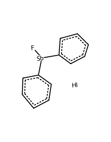 I.[F][Sb]([c]1ccccc1)[c]1ccccc1